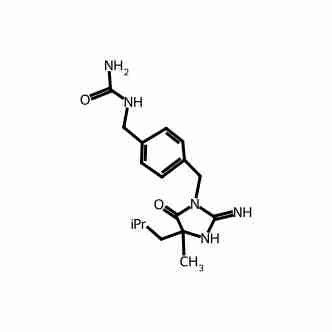 CC(C)CC1(C)NC(=N)N(Cc2ccc(CNC(N)=O)cc2)C1=O